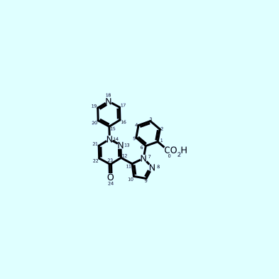 O=C(O)c1ccccc1-n1nccc1-c1nn(-c2ccncc2)ccc1=O